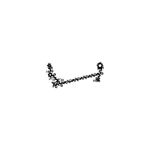 COc1ccc(NC(=O)c2cn3ccsc3n2)cc1C(=O)NCCCC(=O)N[C@@H](CCC(=O)N(C)OC)C(=O)NCCOCCOCCOCCOCCOCCOCCOCCOCCN(CCCS(=O)(=O)O)C(=O)OCC1[C@H]2CC/C=C\CC[C@@H]12